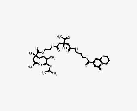 CC(=O)CC(C)(CCC(C)C(=O)NC(C)C)C(=O)OCCOC(=O)CC(O)(CC(=O)NCCCOC(=O)c1cc2n(c(=O)c1)CCCO2)C(C)=O